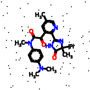 Cc1cnc(C2=NC(C)(C(C)C)C(=O)N2)c(C(=O)C(=O)N(C)c2ccc(N(C)C)cc2)c1